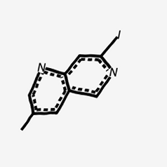 Cc1cnc2cc(I)ncc2c1